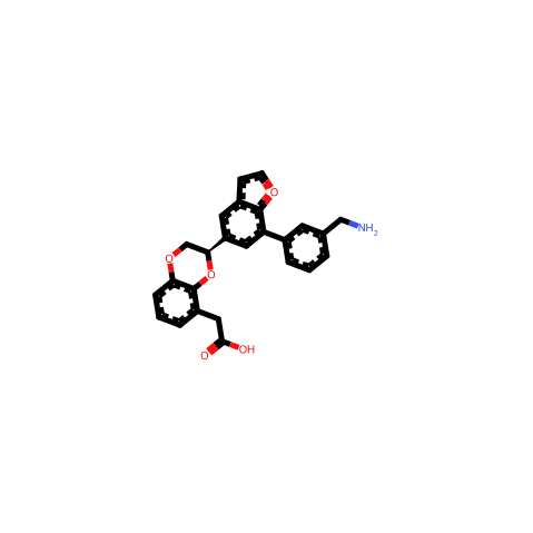 NCc1cccc(-c2cc([C@@H]3COc4cccc(CC(=O)O)c4O3)cc3ccoc23)c1